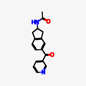 CC(=O)NC1Cc2ccc(C(=O)c3cccnc3)cc2C1